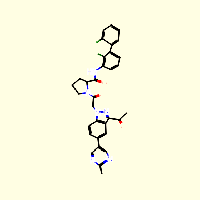 CC(=O)c1nn(CC(=O)N2CCCC2C(=O)Nc2cccc(-c3ccccc3Cl)c2F)c2ccc(-c3cnc(C)nc3)cc12